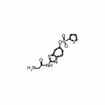 NCC(=O)Nc1nc2ccc(OS(=O)(=O)c3cccs3)cc2s1